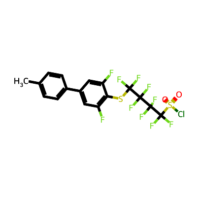 Cc1ccc(-c2cc(F)c(SC(F)(F)C(F)(F)C(F)(F)C(F)(F)S(=O)(=O)Cl)c(F)c2)cc1